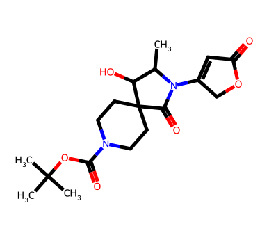 CC1C(O)C2(CCN(C(=O)OC(C)(C)C)CC2)C(=O)N1C1=CC(=O)OC1